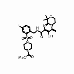 C=C1C(O)=C(C(=O)NCc2ccc(F)cc2S(=O)(=O)N2CCN(C(=O)OC)CC2)N=C2N1CCOC2(C)C